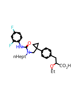 CCCCCCCN(CC1(c2ccc(CC(OCC)C(=O)O)cc2)CC1)C(=O)Nc1ccc(F)cc1F